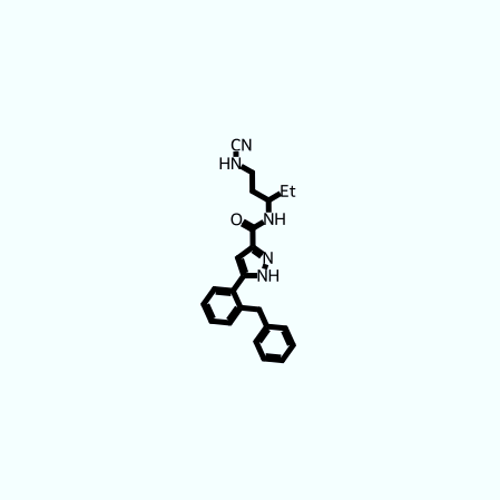 CCC(CCNC#N)NC(=O)c1cc(-c2ccccc2Cc2ccccc2)[nH]n1